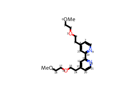 COCCOCCc1ccnc(-c2cc(CCOCCOC)ccn2)c1